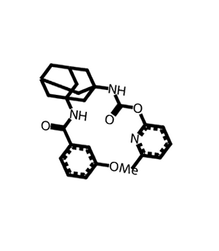 COc1cccc(C(=O)NC23CC4CC(CC(NC(=O)Oc5cccc(C)n5)(C4)C2)C3)c1